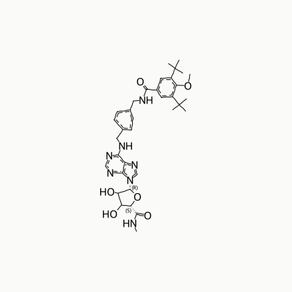 CNC(=O)[C@H]1O[C@@H](n2cnc3c(NCc4ccc(CNC(=O)c5cc(C(C)(C)C)c(OC)c(C(C)(C)C)c5)cc4)ncnc32)C(O)C1O